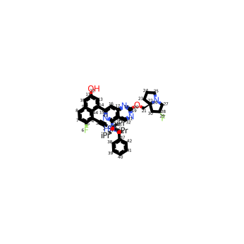 CC(C)[Si](C#Cc1c(F)ccc2cc(O)cc(-c3cc4nc(OC[C@@]56CCCN5C[C@H](F)C6)ncc4c(NCc4ccccc4)n3)c12)(C(C)C)C(C)C